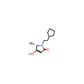 CC(C)(C)[C@H]1C(O)=CC(=O)N1CCC1CCCC1